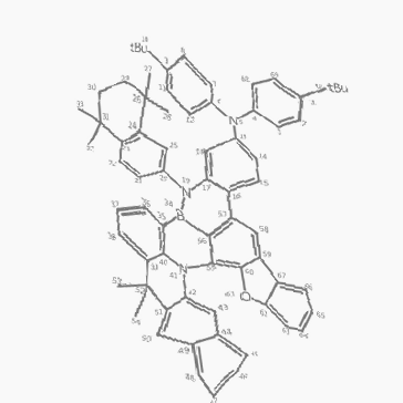 CC(C)(C)c1ccc(N(c2ccc(C(C)(C)C)cc2)c2ccc3c(c2)N(c2ccc4c(c2)C(C)(C)CCC4(C)C)B2c4cccc5c4N(c4cc6ccccc6cc4C5(C)C)c4c2c-3cc2c4oc3ccccc32)cc1